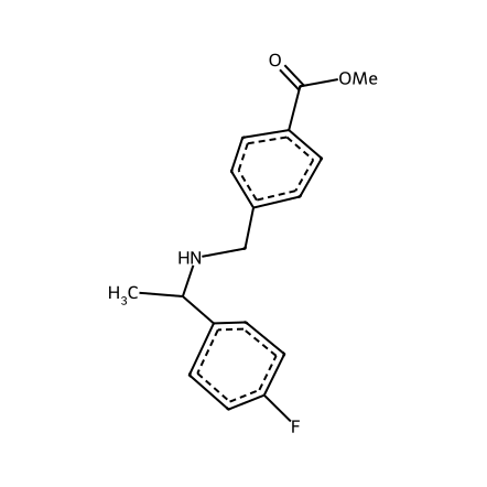 COC(=O)c1ccc(CNC(C)c2ccc(F)cc2)cc1